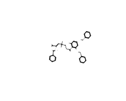 CC(C)(C=C1N=C(c2ccccc2)SC1=O)C1CC(=O)c2c(OCc3ccccc3)cc(OCc3ccccc3)cc2O1